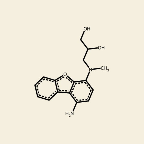 CN(CC(O)CO)c1ccc(N)c2c1oc1ccccc12